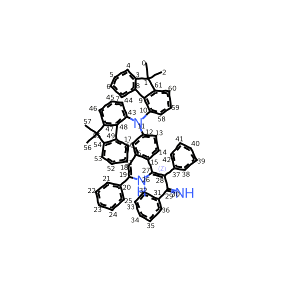 CC1(C)c2ccccc2-c2c(N(c3ccc4c(c3)C=C(c3ccccc3)N/C4=C(\C(=N)c3ccccc3)c3ccccc3)c3cccc4c3-c3ccccc3C4(C)C)cccc21